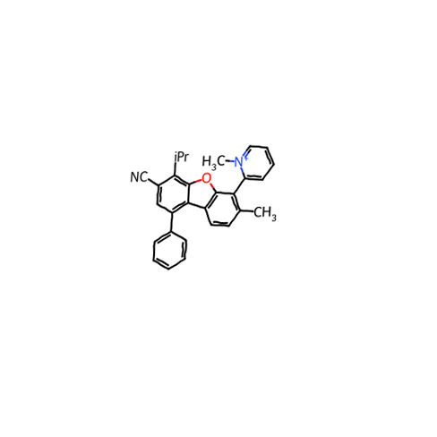 Cc1ccc2c(oc3c(C(C)C)c(C#N)cc(-c4ccccc4)c32)c1-c1cccc[n+]1C